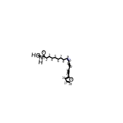 O=C(CCCCCCC/C=C\C#CC#Cc1ccco1)NO